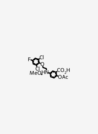 CC(=O)Oc1ccc(NCCOc2c(Cl)cc(F)cc2Cl)cc1C(=O)O.COC